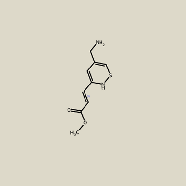 COC(=O)/C=C/C1=CC(CN)=CSN1